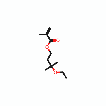 C=C(C)C(=O)OCCC(C)(C)OCC